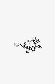 CCCC(=O)NNC(O)[C@H]1CC[C@@H](N(C)C(O)OC(C)(C)C)C1